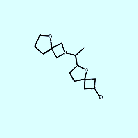 CCC1CC2(CCC(C(C)N3CC4(CCCO4)C3)O2)C1